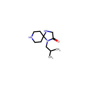 CC(C)CN1C(=O)CNC12CCNCC2